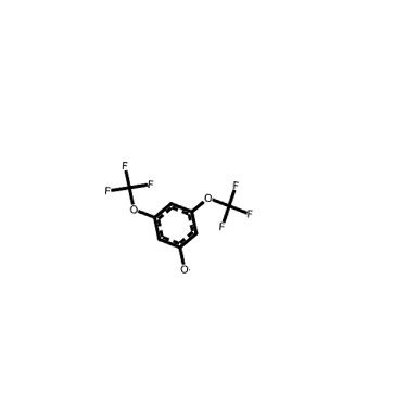 [O]c1cc(OC(F)(F)F)cc(OC(F)(F)F)c1